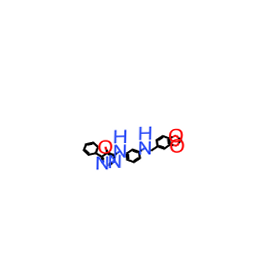 C1=CC2Oc3c(Nc4cccc(NCc5ccc6c(c5)OCO6)c4)ncnc3C2C=C1